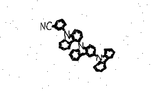 N#Cc1cccc(-n2c3ccccc3c3c(-n4c5ccccc5c5cc(-n6c7ccccc7c7ccccc76)ccc54)cccc32)c1